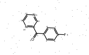 O=C(c1ccc(F)cc1)c1cnccn1